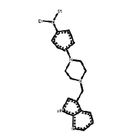 CCN(CC)c1ccc(N2CCN(Cc3c[nH]c4ncccc34)CC2)cc1